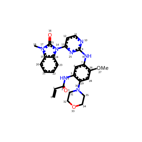 C=CC(=O)Nc1cc(Nc2nccc(-n3c(=O)n(C)c4ccccc43)n2)c(OC)cc1N1CCOCC1